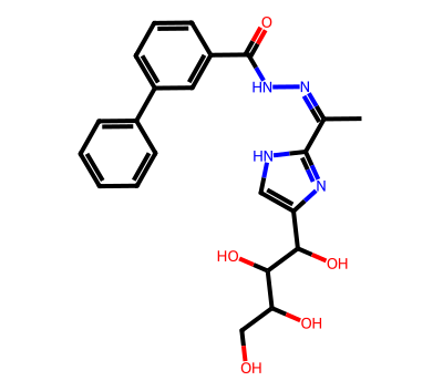 C/C(=N/NC(=O)c1cccc(-c2ccccc2)c1)c1nc(C(O)C(O)C(O)CO)c[nH]1